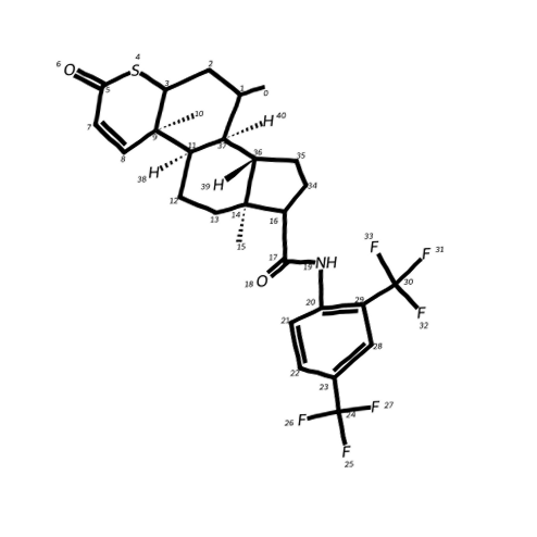 CC1CC2SC(=O)C=C[C@]2(C)[C@@H]2CC[C@]3(C)C(C(=O)Nc4ccc(C(F)(F)F)cc4C(F)(F)F)CC[C@H]3[C@H]12